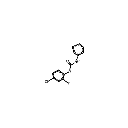 O=C(Nc1ccccc1)Oc1ccc(Cl)cc1F